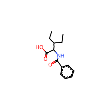 CCC(CC)C(NC(=O)c1ccccc1)C(=O)O